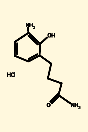 Cl.NC(=O)CCCc1cccc(N)c1O